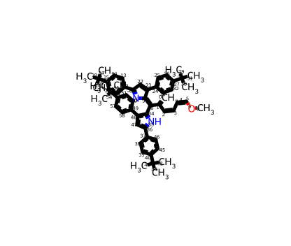 C=C(/C=C\C=C/OC)/C(=C1/N=C(c2ccc(C(C)(C)C)cc2)C=C1c1ccc(C(C)(C)C)cc1)c1[nH]c(-c2ccc(C(C)(C)C)cc2)cc1-c1ccc(C(C)(C)C)cc1